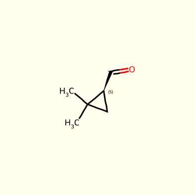 CC1(C)C[C@@H]1[C]=O